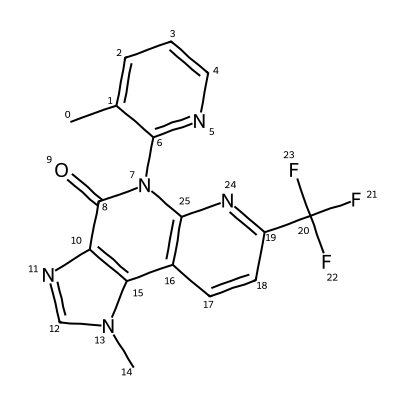 Cc1cccnc1-n1c(=O)c2ncn(C)c2c2ccc(C(F)(F)F)nc21